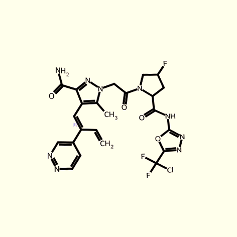 C=C/C(=C\c1c(C(N)=O)nn(CC(=O)N2CC(F)CC2C(=O)Nc2nnc(C(F)(F)Cl)o2)c1C)c1ccnnc1